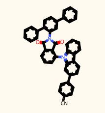 N#Cc1ccc(-c2ccc3c4ccccc4n(-c4cccc5c4C(=O)N(c4cc(-c6ccccc6)ccc4-c4ccccc4)C5=O)c3c2)cc1